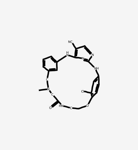 CN1CC(=O)NCCOc2ccc(cc2Cl)Nc2ncc(C#N)c(n2)Nc2cccc(c2)C1